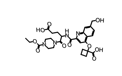 CCOC(=O)N1CCN(C(=O)C(CCC(=O)O)NC(=O)c2cc(OC3(C(=O)O)CCC3)c3ccc(CO)cc3n2)CC1